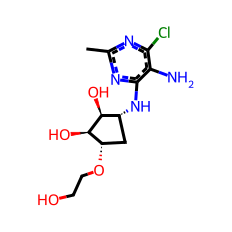 Cc1nc(Cl)c(N)c(N[C@@H]2C[C@H](OCCO)[C@@H](O)[C@H]2O)n1